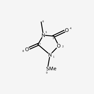 CSn1oc(=O)n(C)c1=O